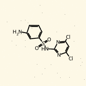 Nc1cccc(S(=O)(=O)Nc2nc(Cl)cc(Cl)n2)c1